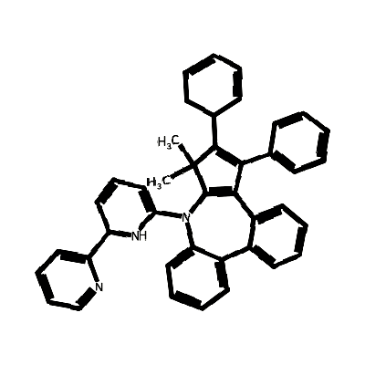 CC1(C)C(C2C=CC=CC2)=C(c2ccccc2)C2=C1N(C1=CC=CC(c3ccccn3)N1)c1ccccc1-c1ccccc12